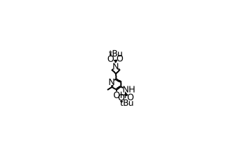 Cc1nc(C2CN(C(=O)OC(C)(C)C)C2)cc(NC(=O)OC(C)(C)C)c1O